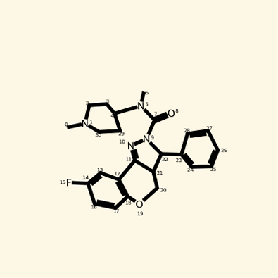 CN1CCC(N(C)C(=O)N2N=C3c4cc(F)ccc4OCC3C2c2ccccc2)CC1